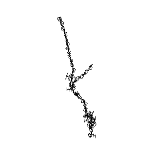 CCOCCOCCOCCOCCC(=O)N(CC(=O)NCCOCCOCCOCCOCCOCCOCCOCCOCCOCCOCCOCCOC)CC(=O)NCCn1cc(COCCOCCOCCOCCNC(=O)c2ncn(-c3ncc(OC)c4c(C(=O)C(=O)N5CCC(=C(C#N)c6ccccc6)CC5)c[nH]c34)n2)nn1